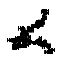 Cc1cc(OCCCC(=O)NCCNC(=O)[C@H](CSOOO)NC(=O)CC[C@H](NC(=O)CN2CCN(CC(=O)O)CCN(CC(=O)O)CCN(CC(=O)O)CC2)C(=O)N[C@@H](CSOOO)C(=O)NCCNC(=O)CCCOc2cc(C)c(S(=O)(=O)N[C@@H](CNC(=O)c3ccc4c(cnn4CCCNc4ncc[nH]4)c3)C(=O)O)c(C)c2)cc(C)c1S(=O)(=O)N[C@@H](CNC(=O)c1ccc2c(cnn2CCCNc2ncc[nH]2)c1)C(=O)O